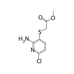 COC(=O)CSc1ccc(Cl)nc1N